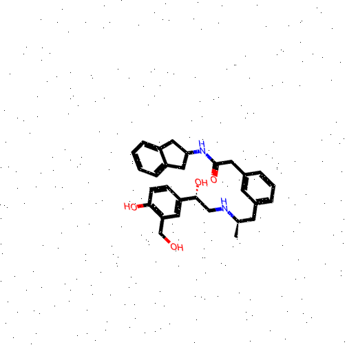 C[C@H](Cc1cccc(CC(=O)NC2Cc3ccccc3C2)c1)NC[C@@H](O)c1ccc(O)c(CO)c1